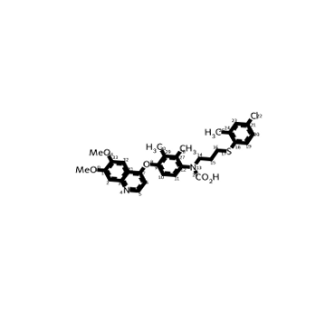 COc1cc2nccc(Oc3ccc(N(CCCSc4ccc(Cl)cc4C)C(=O)O)c(C)c3C)c2cc1OC